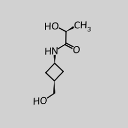 C[C@H](O)C(=O)N[C@H]1C[C@@H](CO)C1